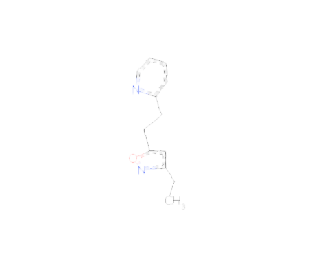 CCc1cc(CCc2ccccn2)on1